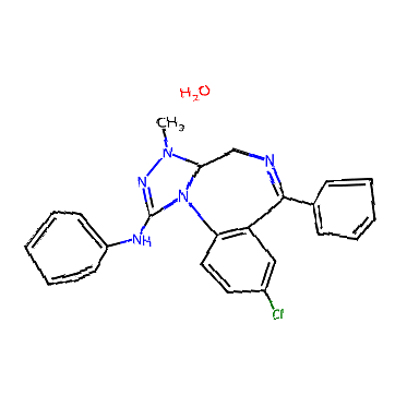 CN1N=C(Nc2ccccc2)N2c3ccc(Cl)cc3C(c3ccccc3)=NCC12.O